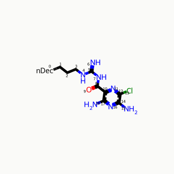 CCCCCCCCCCCCCNC(=N)NC(=O)c1nc(Cl)c(N)nc1N